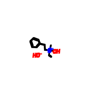 CC[N+](C)(O)CCc1ccccc1.[OH-]